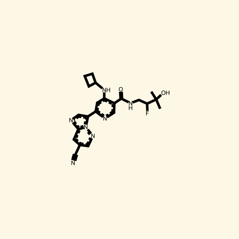 CC(C)(O)C(F)CNC(=O)c1cnc(-c2cnc3cc(C#N)cnn23)cc1NC1CCC1